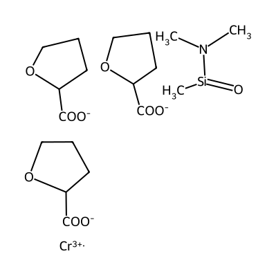 CN(C)[Si](C)=O.O=C([O-])C1CCCO1.O=C([O-])C1CCCO1.O=C([O-])C1CCCO1.[Cr+3]